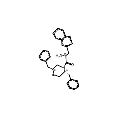 N[C@H](Cc1ccc2ccccc2c1)C(=O)N1C[C@H](Cc2ccccc2)NC[C@H]1Cc1ccccc1